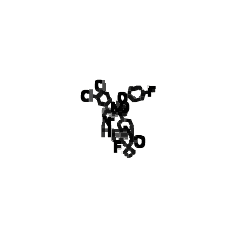 CN(C(=O)Oc1ccc(F)cc1)[C@]1(C(=O)C2CCN(C(=O)C3(C(F)(F)F)CCC3)CC2)CNC[C@H]1c1ccc(Cl)c(Cl)c1